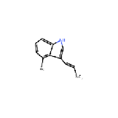 CC(=O)c1cccc2[nH]cc(C=C[N+](=O)[O-])c12